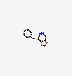 c1ccc(Cc2cncc3sccc23)cc1